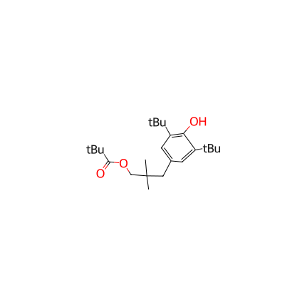 CC(C)(COC(=O)C(C)(C)C)Cc1cc(C(C)(C)C)c(O)c(C(C)(C)C)c1